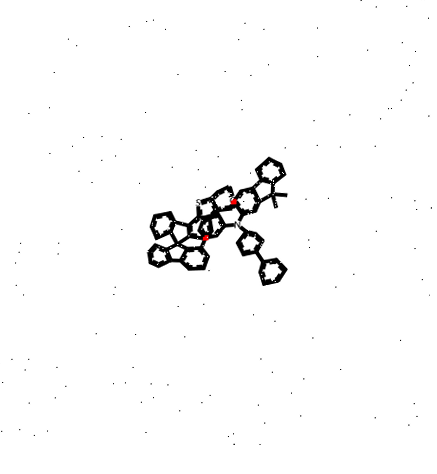 CC1(C)c2ccccc2-c2ccc(N(c3ccc(-c4ccccc4)cc3)c3cccc(-c4cccc5c4C4(c6ccccc6-5)c5ccccc5-c5c4ccc4c5sc5ccccc54)c3)cc21